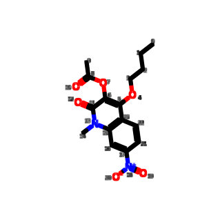 CCCCOc1c(OC(C)=O)c(=O)n(C)c2cc([N+](=O)[O-])ccc12